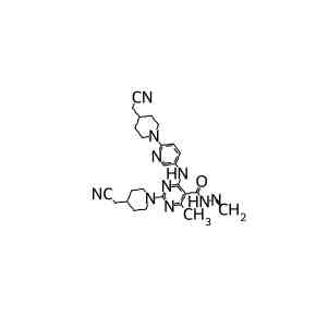 C=NNC(=O)c1c(C)nc(N2CCC(CC#N)CC2)nc1Nc1ccc(N2CCC(CC#N)CC2)nc1